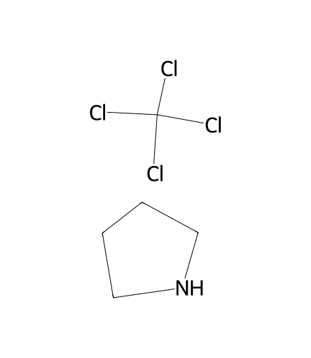 C1CCNC1.ClC(Cl)(Cl)Cl